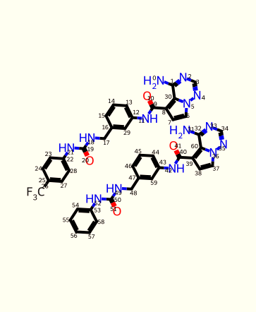 Nc1ncnn2ccc(C(=O)Nc3cccc(CNC(=O)Nc4ccc(C(F)(F)F)cc4)c3)c12.Nc1ncnn2ccc(C(=O)Nc3cccc(CNC(=O)Nc4ccccc4)c3)c12